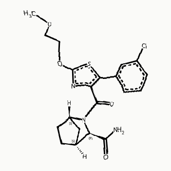 COCCOc1nc(C(=O)N2[C@H]3CC[C@@H](C3)[C@@H]2C(N)=O)c(-c2cccc(Cl)c2)s1